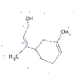 CC1=CCCC(/C(C)=C\CO)C1